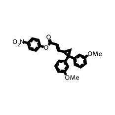 COc1cccc(C2(c3cccc(OC)c3)CC2C=CC(=O)Oc2ccc([N+](=O)[O-])cc2)c1